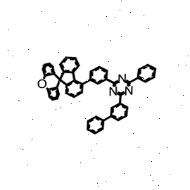 c1ccc(-c2cccc(-c3nc(-c4ccccc4)nc(-c4cccc(-c5cccc6c5-c5ccccc5C65c6ccccc6Oc6ccccc65)c4)n3)c2)cc1